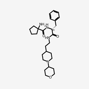 NC1(C(=O)N[C@H](Cc2ccccc2)C(=O)NCCC2CCN(C3CCOCC3)CC2)CCCC1